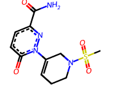 CS(=O)(=O)N1CCC=C(n2nc(C(N)=O)ccc2=O)C1